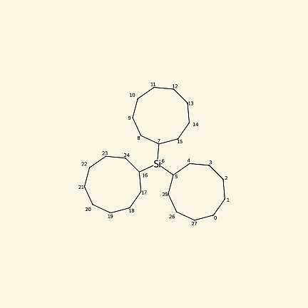 C1CCCCC([Si](C2CCCCCCCC2)C2CCCCCCCC2)CCC1